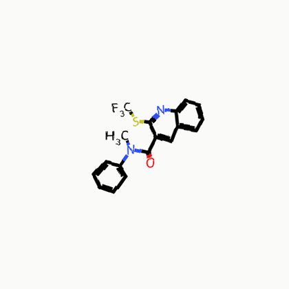 CN(C(=O)c1cc2ccccc2nc1SC(F)(F)F)c1ccccc1